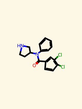 O=C(c1ccc(Cl)c(Cl)c1)N(c1ccccc1)C1CCNC1